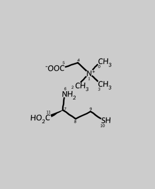 C[N+](C)(C)CC(=O)[O-].N[C@@H](CCS)C(=O)O